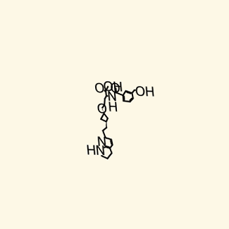 O=C(NC(CCO[C@H]1C[C@H](CCc2ccc3c(n2)NCCC3)C1)C(=O)O)c1cccc(CO)c1